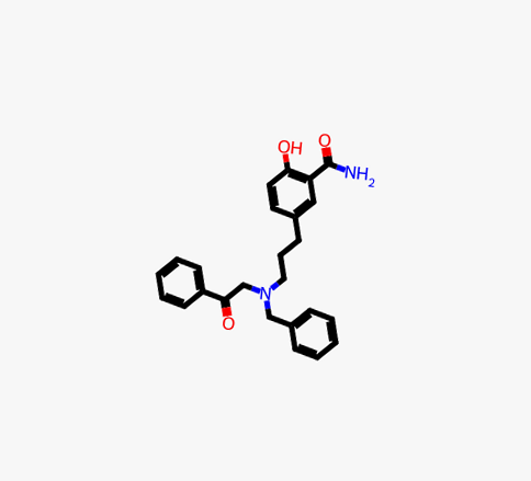 NC(=O)c1cc(CCCN(CC(=O)c2ccccc2)Cc2ccccc2)ccc1O